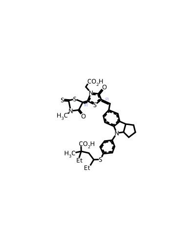 CCC(CC(C)(CC)C(=O)O)Sc1ccc(N2c3ccc(/C=c4\s/c(=C5/SC(=S)N(C)C5=O)n(CC(=O)O)c4=O)cc3C3CCCC32)cc1